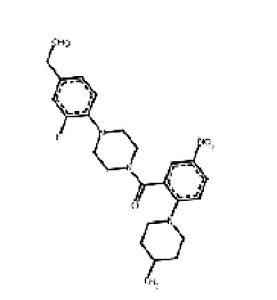 CC1CCN(c2ccc([N+](=O)[O-])cc2C(=O)N2CCN(c3ccc(CC=O)cc3F)CC2)CC1